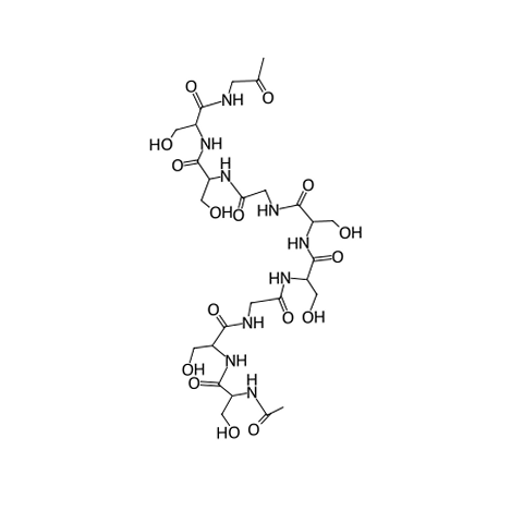 CC(=O)CNC(=O)C(CO)NC(=O)C(CO)NC(=O)CNC(=O)C(CO)NC(=O)C(CO)NC(=O)CNC(=O)C(CO)NC(=O)C(CO)NC(C)=O